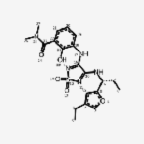 CCc1coc([C@@H](CC)NC2=NS(=O)(=O)N=C2Nc2cccc(C(=O)N(C)C)c2O)c1